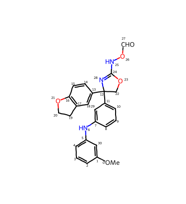 COc1cccc(Nc2cccc(C3(c4ccc5c(c4)CCO5)COC(NOC=O)=N3)c2)c1